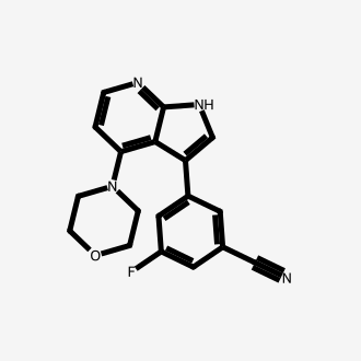 N#Cc1cc(F)cc(-c2c[nH]c3nccc(N4CCOCC4)c23)c1